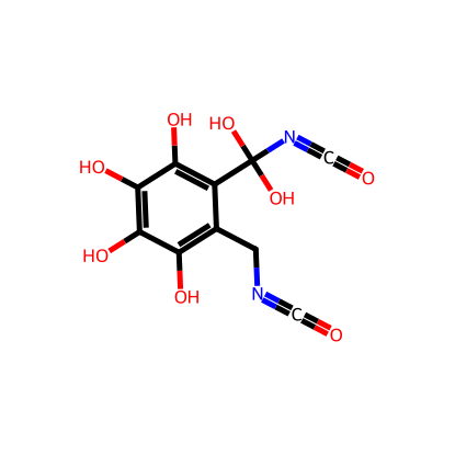 O=C=NCc1c(O)c(O)c(O)c(O)c1C(O)(O)N=C=O